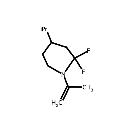 C=C(C)N1CCC(C(C)C)CC1(F)F